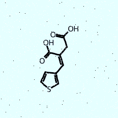 O=C(O)C/C(=C/c1ccsc1)C(=O)O